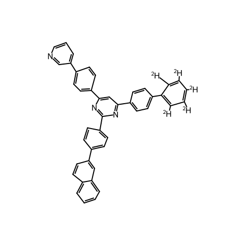 [2H]c1c([2H])c([2H])c(-c2ccc(-c3cc(-c4ccc(-c5cccnc5)cc4)nc(-c4ccc(-c5ccc6ccccc6c5)cc4)n3)cc2)c([2H])c1[2H]